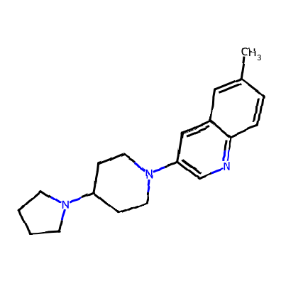 Cc1ccc2ncc(N3CCC(N4CCCC4)CC3)cc2c1